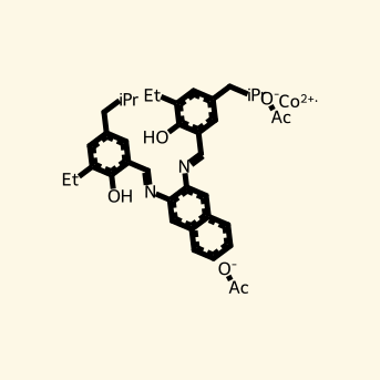 CC(=O)[O-].CC(=O)[O-].CCc1cc(CC(C)C)cc(C=Nc2cc3ccccc3cc2N=Cc2cc(CC(C)C)cc(CC)c2O)c1O.[Co+2]